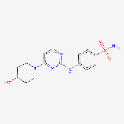 NS(=O)(=O)c1ccc(Nc2nccc(N3CCC(O)CC3)n2)cc1